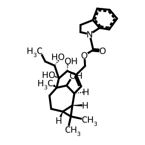 CC[C@H](O)[C@@]1(O)[C@H](O)C(COC(=O)N2CCc3ccccc32)=C[C@@H]2C(O)[C@]1(C)CC[C@@H]1[C@H]2C1(C)C